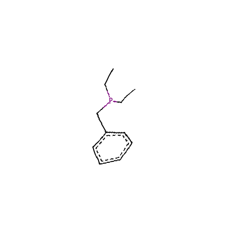 CCP(CC)Cc1ccccc1